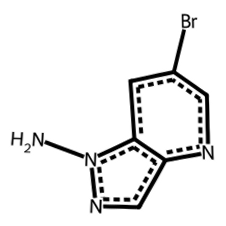 Nn1ncc2ncc(Br)cc21